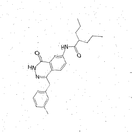 CCCC(CCC)C(=O)Nc1ccc2c(Cc3cccc(C)c3)n[nH]c(=O)c2c1